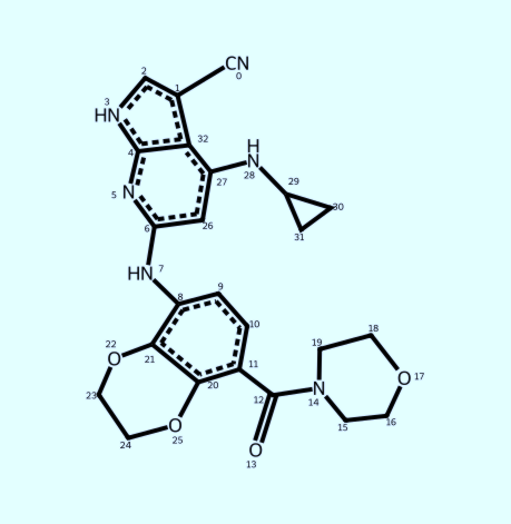 N#Cc1c[nH]c2nc(Nc3ccc(C(=O)N4CCOCC4)c4c3OCCO4)cc(NC3CC3)c12